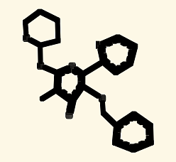 Cc1c(OC2CCCCO2)oc(-c2ccccn2)c(OCc2ccccc2)c1=O